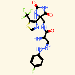 N=C(/C=N\Nc1ccc(F)cc1)C(=O)NCC1(c2ncsc2C(F)(F)F)NC(=O)NC1=O